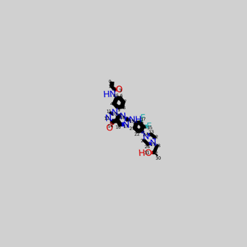 C=CC(=O)Nc1cccc(-n2cnc(=O)c3cnc(Nc4ccc(N5CCN(C[C@@H](C)O)CC5)c(F)c4F)nc32)c1